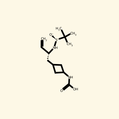 C=C[C@@H](CC1CC(NC(=O)O)C1)N[S@@+]([O-])C(C)(C)C